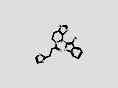 O=C(CCc1nccs1)N1CCc2[nH]cnc2[C@@H]1c1oc2ccccc2c1Br